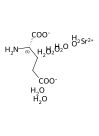 N[C@@H](CCC(=O)[O-])C(=O)[O-].O.O.O.O.O.O.[Sr+2]